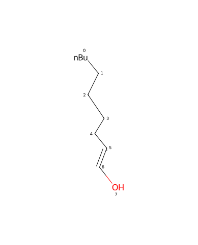 CCCCCCCC/[C]=C/O